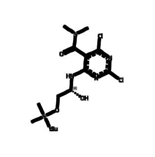 CN(C)C(=O)c1c(Cl)nc(Cl)nc1N[C@H](O)CO[Si](C)(C)C(C)(C)C